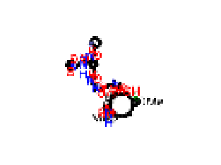 COC1=C(Cl)C2CC(=C1)CC(C)CCC[C@@H](OC)[C@@]1(O)C[C@H](OC(=O)N1)[C@@H](C)[C@@H]1O[C@@]1(C)[C@@H](OC(=O)[C@H](C)N(C)C(=O)CCOC(=O)N(C)CCN(C)C(=O)OCc1ccc(NC(=O)OC3/C=C/CCCCC3)c(C(=O)NCCN3C(=O)C=CC3=O)c1)CC(O)C2